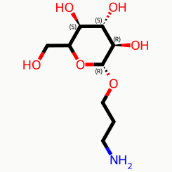 NCCCO[C@@H]1OC(CO)[C@@H](O)[C@H](O)[C@H]1O